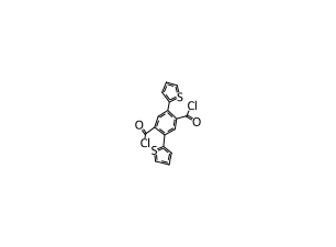 O=C(Cl)c1cc(-c2cccs2)c(C(=O)Cl)cc1-c1cccs1